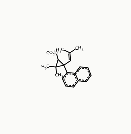 CC(C)=CC1(c2cccc3ccccc23)C(C(=O)O)C1(C)C